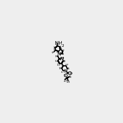 Cc1cc(N)cc2ccn(Cc3ccc(C4CCN(C(=O)OC(C)(C)C)CC4)cn3)c12